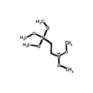 CO[SiH](CC[Si](OC)(OC)OC)OC